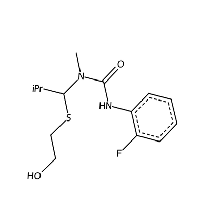 CC(C)C(SCCO)N(C)C(=O)Nc1ccccc1F